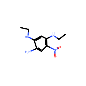 CCNc1cc(NCC)c([N+](=O)[O-])cc1N